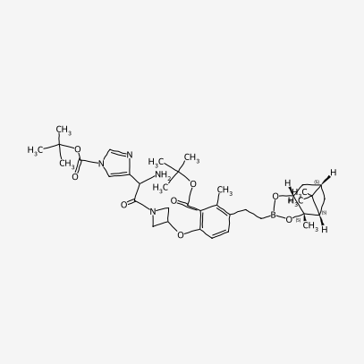 Cc1c(CCB2O[C@@H]3C[C@@H]4C[C@@H](C4(C)C)[C@]3(C)O2)ccc(OC2CN(C(=O)C(N)c3cn(C(=O)OC(C)(C)C)cn3)C2)c1C(=O)OC(C)(C)C